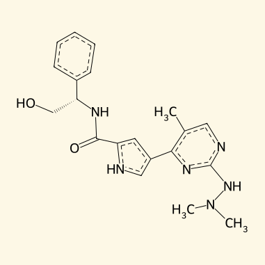 Cc1cnc(NN(C)C)nc1-c1c[nH]c(C(=O)N[C@H](CO)c2ccccc2)c1